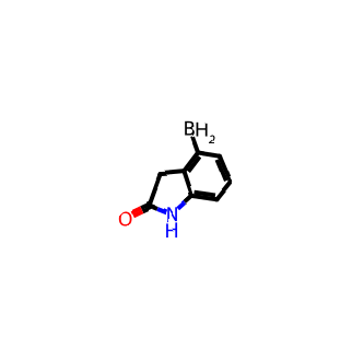 Bc1cccc2c1CC(=O)N2